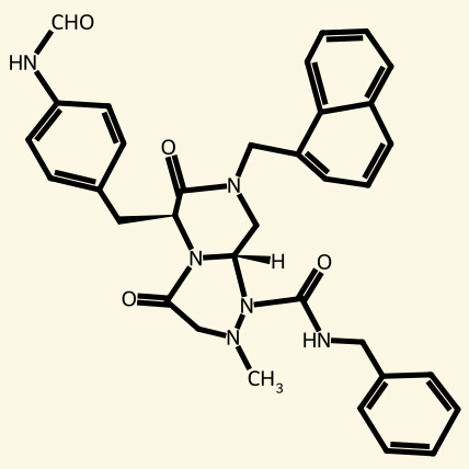 CN1CC(=O)N2[C@@H](Cc3ccc(NC=O)cc3)C(=O)N(Cc3cccc4ccccc34)C[C@@H]2N1C(=O)NCc1ccccc1